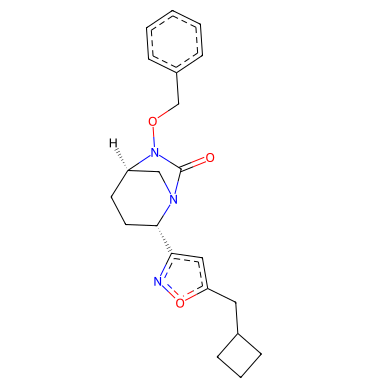 O=C1N2C[C@@H](CC[C@H]2c2cc(CC3CCC3)on2)N1OCc1ccccc1